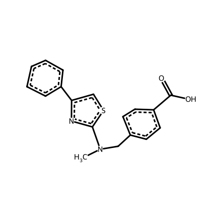 CN(Cc1ccc(C(=O)O)cc1)c1nc(-c2ccccc2)cs1